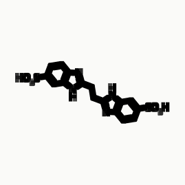 O=S(=O)(O)c1ccc2nc(CCc3nc4ccc(S(=O)(=O)O)cc4[nH]3)[nH]c2c1